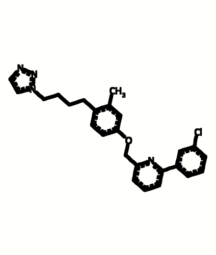 Cc1cc(OCc2cccc(-c3cccc(Cl)c3)n2)ccc1CCCCn1ccnn1